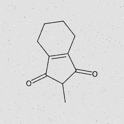 CC1C(=O)C2=C(CCCC2)C1=O